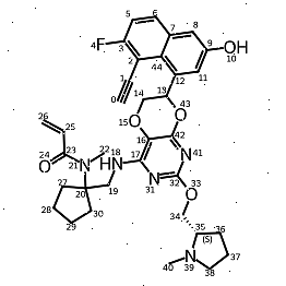 C#Cc1c(F)ccc2cc(O)cc(C3COc4c(NCC5(N(C)C(=O)C=C)CCCC5)nc(OC[C@@H]5CCCN5C)nc4O3)c12